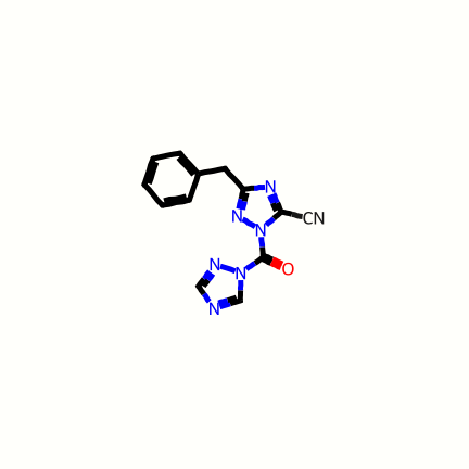 N#Cc1nc(Cc2ccccc2)nn1C(=O)n1cncn1